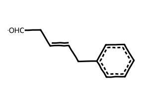 O=[C]CC=CCc1ccccc1